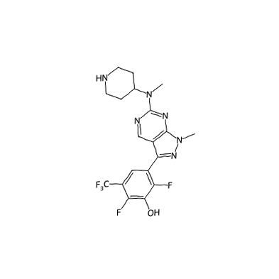 CN(c1ncc2c(-c3cc(C(F)(F)F)c(F)c(O)c3F)nn(C)c2n1)C1CCNCC1